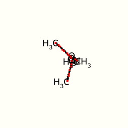 CCCCCCCCC=CCCCCCCCC(=O)Oc1ccc(CN(C)C)cc1OC(=O)CCCCCCCC=CCCCCCCCC